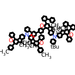 Cc1ccc(-c2cc3c(c4c2oc2ccccc24)-c2ccc(N(c4ccc5c(c4)C(C)(C)c4cc(-c6ccc(C)cc6)c6oc7ccccc7c6c4-5)c4ccccc4-c4cccc(-c5ccc6c(c5)oc5c(-c7ccccc7-c7ccccc7)cc7c(c56)-c5ccc(N(c6ccc(C(C)(C)C)cc6)c6ccc8c(c6)C(C)(C)c6cc(-c9ccccc9-c9ccccc9)c9oc%10ccccc%10c9c6-8)cc5C7(C)C)c4)cc2C3(C)C)cc1